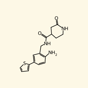 Nc1ccc(-c2cccs2)cc1CNC(=O)C1CCNC(=O)C1